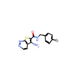 CCc1ccc(CNC(=O)c2sc3nnccc3c2N)cc1